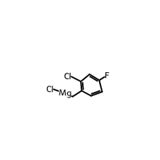 Fc1ccc([CH2][Mg][Cl])c(Cl)c1